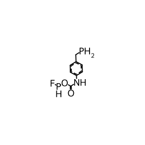 O=C(Nc1ccc(CP)cc1)OPF